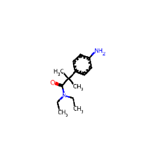 CCN(CC)C(=O)C(C)(C)c1ccc(N)cc1